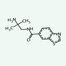 CC(C)(N)CNC(=O)c1ccc2ncsc2c1